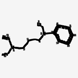 CCCN(CCCN(CC)c1ccccc1)NC